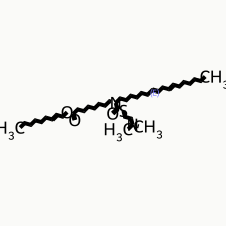 CCCCCCC=CC/C=C/CCCCCCN(CCCCCCCC(=O)OCC=CCCCCCC)C(=O)SCCN(C)C